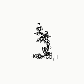 O=C(COc1ccc([C@]2(c3ccc(F)cc3)NC(=O)[C@@H]2SCC(O)c2ccc(F)cc2)cc1)NCC(=O)N[C@H](CCc1ccc(O)cc1)C(=O)O